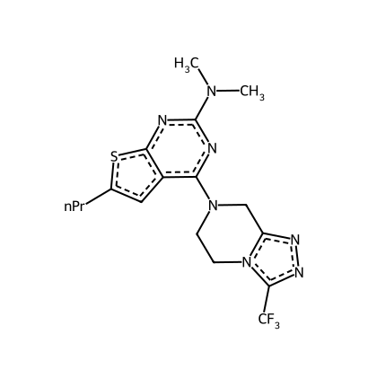 CCCc1cc2c(N3CCn4c(nnc4C(F)(F)F)C3)nc(N(C)C)nc2s1